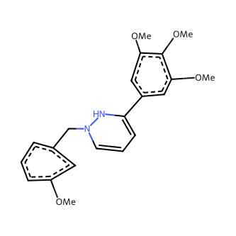 COc1cccc(CN2C=CC=C(c3cc(OC)c(OC)c(OC)c3)N2)c1